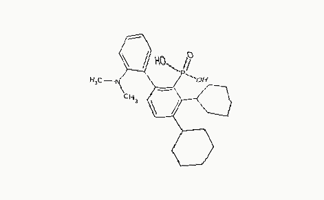 CN(C)c1ccccc1-c1ccc(C2CCCCC2)c(C2CCCCC2)c1P(=O)(O)O